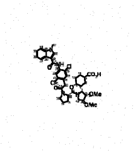 CO[C@H]1CN(C(O[C@H]2CC[C@H](C(=O)O)CC2)[C@@H]2CCCN2C(=O)Cc2cc(Cl)c(NC(=O)c3cn(C)c4ccccc34)cc2Cl)C[C@H]1OC